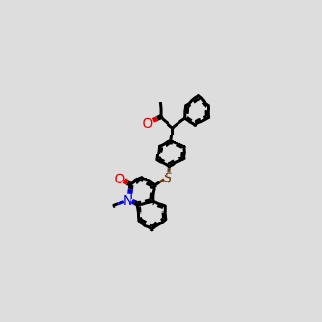 CC(=O)C(c1ccccc1)c1ccc(Sc2cc(=O)n(C)c3ccccc23)cc1